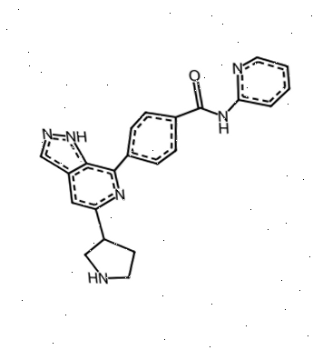 O=C(Nc1ccccn1)c1ccc(-c2nc(C3CCNC3)cc3cn[nH]c23)cc1